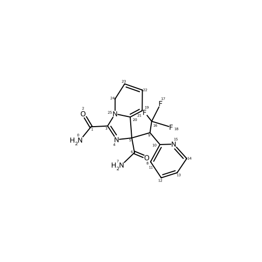 NC(=O)C1=NC(C(N)=O)(C(c2ccccn2)C(F)(F)F)C2=CC=CCN21